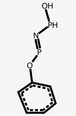 OPN=POc1ccccc1